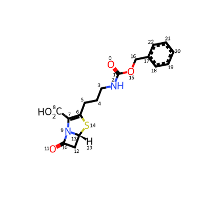 O=C(NCCCC1=C(C(=O)O)N2C(=O)C[C@H]2S1)OCc1ccccc1